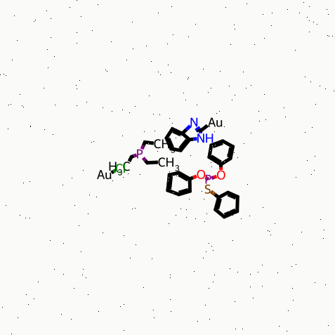 CCP(CC)CC.[Au][c]1nc2ccccc2[nH]1.[Cl][Au].c1ccc(OP(Oc2ccccc2)Sc2ccccc2)cc1